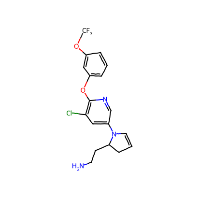 NCCC1CC=CN1c1cnc(Oc2cccc(OC(F)(F)F)c2)c(Cl)c1